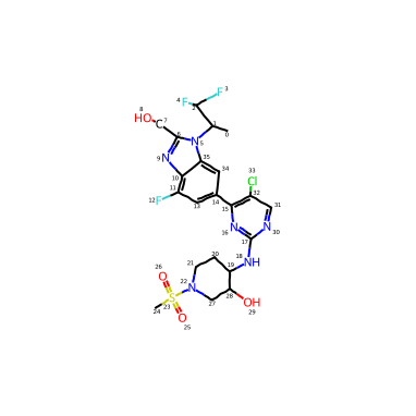 CC(C(F)F)n1c(CO)nc2c(F)cc(-c3nc(NC4CCN(S(C)(=O)=O)CC4O)ncc3Cl)cc21